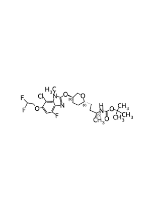 C[C@@H](CC[C@@H]1CC[C@@H](Oc2nc3c(F)cc(OCC(F)F)c(Cl)c3n2C)CO1)NC(=O)OC(C)(C)C